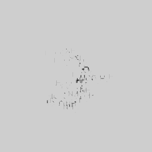 CC(C)C(N)C(=O)O.NC(=O)CC(N)C(=O)O.NC(=O)CC(N)C(=O)O.NC(CCC(=O)O)C(=O)O.NC(CS)C(=O)O.NC(CS)C(=O)O.NC(Cc1ccccc1)C(=O)O.NCC(=O)O.NCC(=O)O